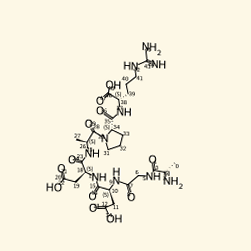 C[C@H](N)C(=O)NCC(=O)N[C@@H](CC(=O)O)C(=O)N[C@@H](CC(=O)O)C(=O)N[C@@H](C)C(=O)N1CCC[C@H]1C(=O)N[C@@H](CCCNC(=N)N)C(=O)O